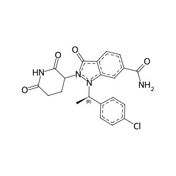 C[C@H](c1ccc(Cl)cc1)n1c2cc(C(N)=O)ccc2c(=O)n1C1CCC(=O)NC1=O